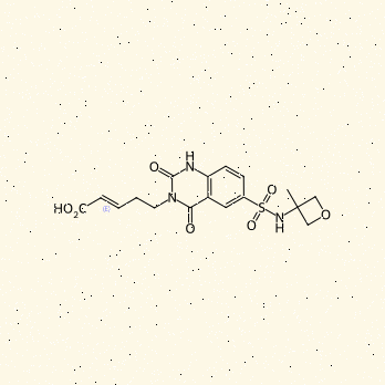 CC1(NS(=O)(=O)c2ccc3[nH]c(=O)n(CC/C=C/C(=O)O)c(=O)c3c2)COC1